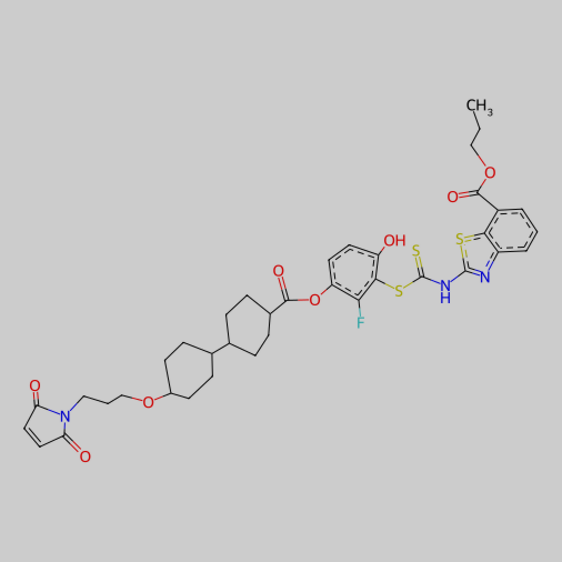 CCCOC(=O)c1cccc2nc(NC(=S)Sc3c(O)ccc(OC(=O)C4CCC(C5CCC(OCCCN6C(=O)C=CC6=O)CC5)CC4)c3F)sc12